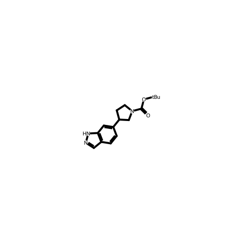 CC(C)(C)OC(=O)N1CCC(c2ccc3cn[nH]c3c2)C1